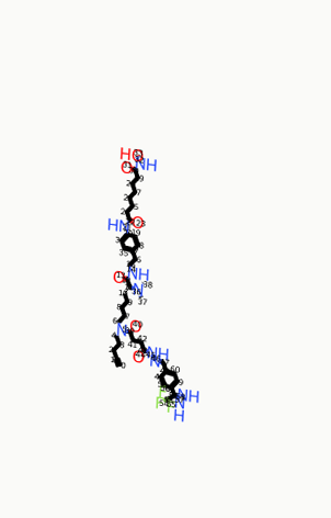 C#CCCCN(CCCCC[C@H](C(=O)NCCc1ccc(NC(=O)CCCCCCC(=O)NO)cc1)N(C)C)C(=O)CCC(=O)N/N=C/c1ccc(C2(C(F)(F)F)NN2)cc1